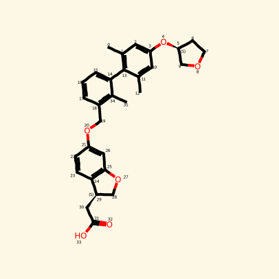 Cc1cc(O[C@H]2CCOC2)cc(C)c1-c1cccc(COc2ccc3c(c2)OC[C@H]3CC(=O)O)c1C